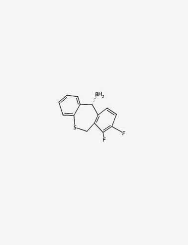 B[C@H]1c2ccccc2SCc2c1ccc(F)c2F